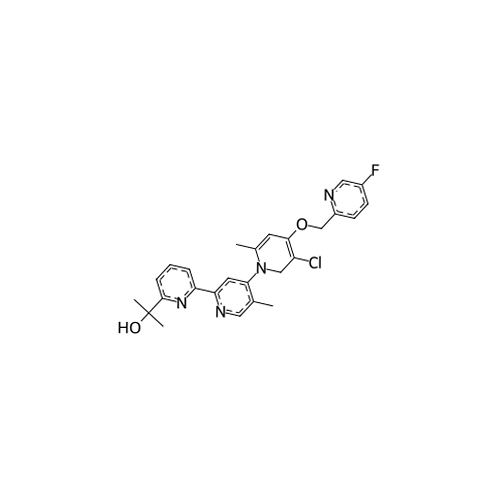 CC1=CC(OCc2ccc(F)cn2)=C(Cl)CN1c1cc(-c2cccc(C(C)(C)O)n2)ncc1C